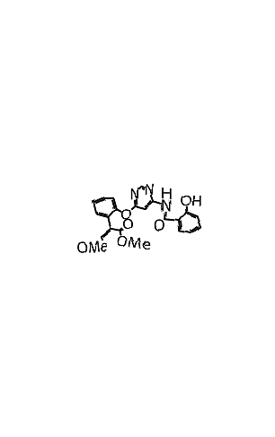 COC=C(C(=O)OC)c1ccccc1Oc1cc(NC(=O)c2ccccc2O)ncn1